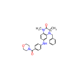 C[C@@H]1C(=O)N(C)c2ccc(Nc3ccc(C(=O)N4CCOCC4)cc3)cc2N1Cc1ccccc1